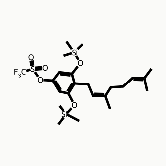 CC(C)=CCCC(C)=CCc1c(O[Si](C)(C)C)cc(OS(=O)(=O)C(F)(F)F)cc1O[Si](C)(C)C